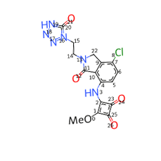 COc1c(Nc2ccc(Cl)c3c2C(=O)N(CCn2nn[nH]c2=O)C3)c(=O)c1=O